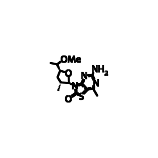 COC(C)[C@@H]1C[C@@H](C)[C@H](n2c(=O)sc3c(C)nc(N)nc32)O1